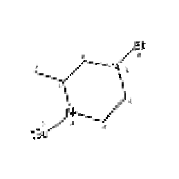 CCN1CCN(C(C)(C)C)C(C)C1